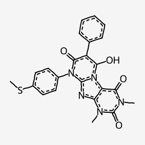 CSc1ccc(-n2c(=O)c(-c3ccccc3)c(O)n3c4c(=O)n(C)c(=O)n(C)c4nc23)cc1